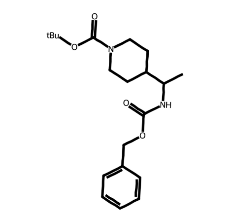 CC(NC(=O)OCc1ccccc1)C1CCN(C(=O)OC(C)(C)C)CC1